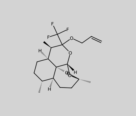 C=CCOC1(C(F)(F)F)O[C@@H]2O[C@]3(C)CC[C@H]4[C@H](C)CC[C@@H]([C@H]1C)[C@@]24OO3